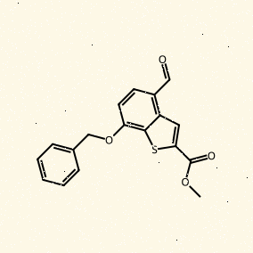 COC(=O)c1cc2c(C=O)ccc(OCc3ccccc3)c2s1